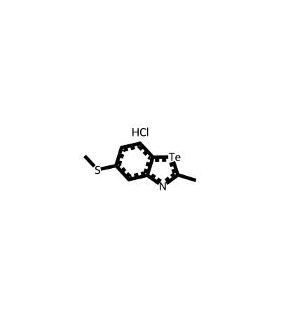 CSc1ccc2[te]c(C)nc2c1.Cl